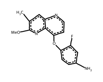 COc1nc2c(Oc3ccc(N)cc3F)ccnc2cc1C